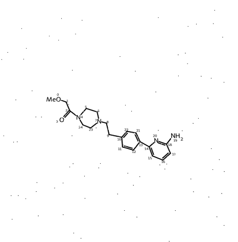 COCC(=O)N1CCN(CCc2ccc(-c3cccc(N)n3)cc2)CC1